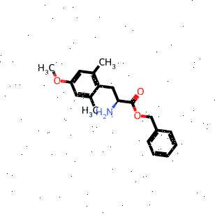 COc1cc(C)c(C[C@H](N)C(=O)OCc2ccccc2)c(C)c1